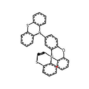 c1ccc2c(c1)Oc1ccc(N3c4ccccc4Sc4ccccc43)cc1[Si]21c2ccccc2Sc2ccccc21